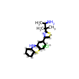 CC(N)C(C)(C)c1nc(-c2ccc3c(c2)Nc2ccccc2S3)cs1.Cl